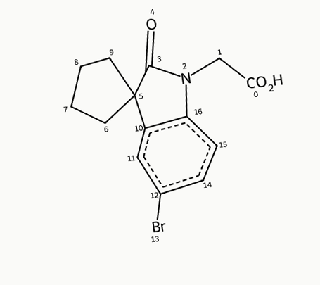 O=C(O)CN1C(=O)C2(CCCC2)c2cc(Br)ccc21